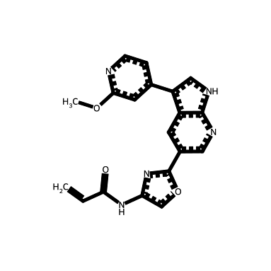 C=CC(=O)Nc1coc(-c2cnc3[nH]cc(-c4ccnc(OC)c4)c3c2)n1